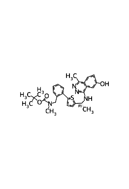 Cc1nnc(N[C@H](C)c2ccc(-c3ccccc3CN(C)C(=O)OC(C)(C)C)s2)c2cc(O)ccc12